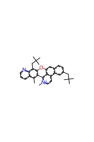 Cc1c2c(c(CC(C)(C)C)c3ncccc13)Oc1cc3ccc(CC(C)(C)C)cc3c3cc[n+](C)c-2c13